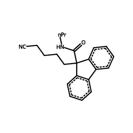 CCCNC(=O)C1(CCCCC#N)c2ccccc2-c2ccccc21